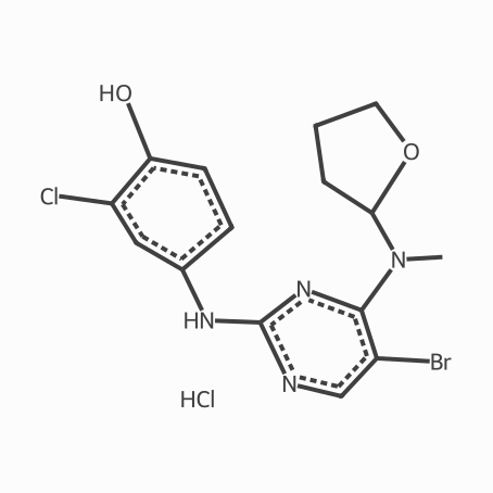 CN(c1nc(Nc2ccc(O)c(Cl)c2)ncc1Br)C1CCCO1.Cl